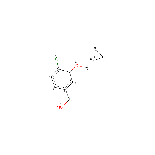 OCc1ccc(Cl)c(OCC2CC2)c1